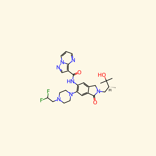 C[C@H](CN1Cc2cc(NC(=O)c3cnn4cccnc34)c(N3CCN(CC(F)F)CC3)cc2C1=O)C(C)(C)O